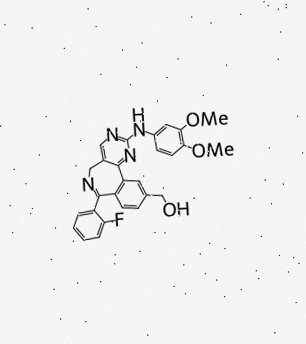 COc1ccc(Nc2ncc3c(n2)-c2cc(CO)ccc2C(c2ccccc2F)=NC3)cc1OC